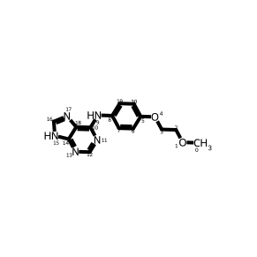 COCCOc1ccc(Nc2ncnc3[nH]cnc23)cc1